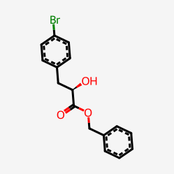 O=C(OCc1ccccc1)[C@H](O)Cc1ccc(Br)cc1